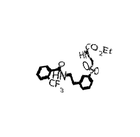 CCOC(=O)NCS(=O)(=O)c1cccc(CCNC(=O)c2ccccc2C(F)(F)F)c1